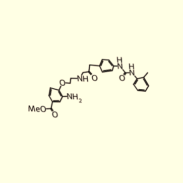 COC(=O)c1ccc(OCCNCC(=O)Cc2ccc(NC(=O)Nc3ccccc3C)cc2)c(N)c1